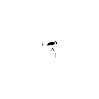 [Hf].[O]=[InH].[Zn]